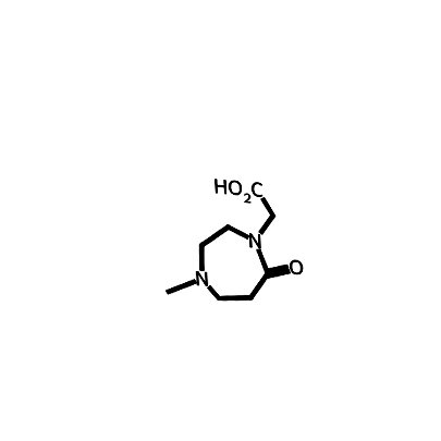 CN1CCC(=O)N(CC(=O)O)CC1